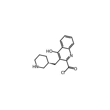 O=C(Cl)c1nc2ccccc2c(O)c1C[C@@H]1CCCNC1